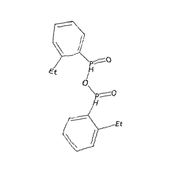 CCc1ccccc1[PH](=O)O[PH](=O)c1ccccc1CC